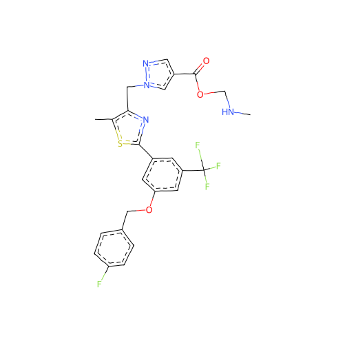 CNCOC(=O)c1cnn(Cc2nc(-c3cc(OCc4ccc(F)cc4)cc(C(F)(F)F)c3)sc2C)c1